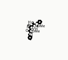 CON[C@@H](Cc1ccccc1)C(=O)C(=O)c1nc[nH]c1C(=O)C(=O)[C@H](Cc1ccccc1)NOC